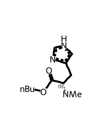 CCCCOC(=O)[C@H](Cc1c[nH]cn1)NC